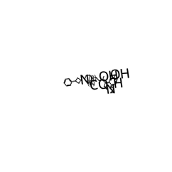 O=C(O)[C@H]1CN(C2CC(c3ccccc3)C2)CC[C@H]1CCC(O)c1ccnc2ccc(O)cc12